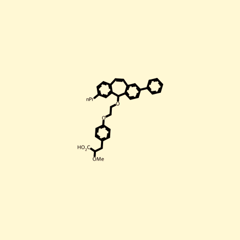 CCCc1ccc2c(c1)C(OCCOc1ccc(CC(OC)C(=O)O)cc1)c1ccc(-c3ccccc3)cc1C=C2